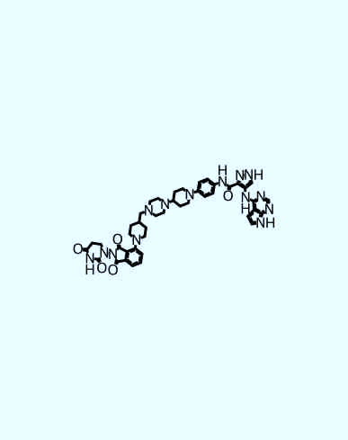 O=C1CCN(N2C(=O)c3cccc(N4CCC(CN5CCN(C6CCN(c7ccc(NC(=O)c8n[nH]cc8Nc8ncnc9[nH]ccc89)cc7)CC6)CC5)CC4)c3C2=O)C(=O)N1